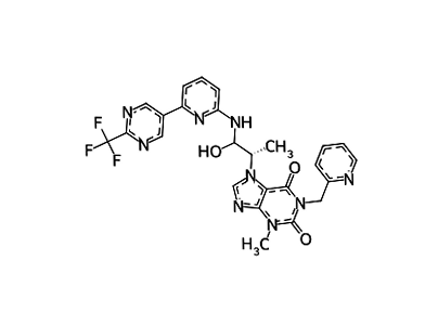 C[C@@H](C(O)Nc1cccc(-c2cnc(C(F)(F)F)nc2)n1)n1cnc2c1c(=O)n(Cc1ccccn1)c(=O)n2C